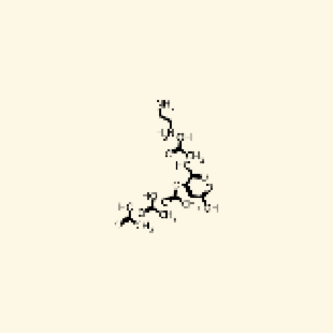 CC(=O)O.CC(=O)O.CC(=O)O.CC(=O)O.NCCN.O=C(O)/C=C\C(=O)O